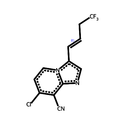 N#Cc1c(Cl)ccn2c(/C=C/CC(F)(F)F)cnc12